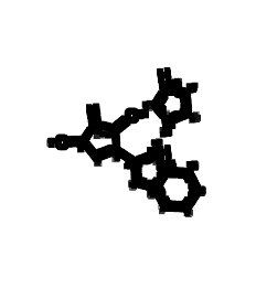 O=C1C=C(c2cc3ccccc3[nH]2)C(=O)N1.c1c[nH]cn1